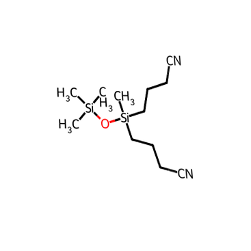 C[Si](C)(C)O[Si](C)(CCCC#N)CCCC#N